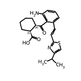 CC(C)c1csc(C=Cc2cccc(N)c2C(=O)[C@@H]2CCCC[C@@H]2C(=O)O)n1